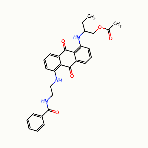 CCC(COC(C)=O)Nc1cccc2c1C(=O)c1cccc(NCCNC(=O)c3ccccc3)c1C2=O